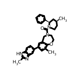 Cc1nc2cc(-c3cc(C)c4c(c3)CN(C(=O)N3CC[C@H](C)C[C@@H]3c3ccccc3)CCO4)ccc2[nH]1